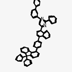 c1ccc(-c2cccc(-c3cc(-c4ccc(-c5ccc(-c6cccc7c6-c6ccccc6C7(c6ccccc6)c6ccccc6)cc5)c5ccccc45)nc(-c4ccccc4)n3)c2)cc1